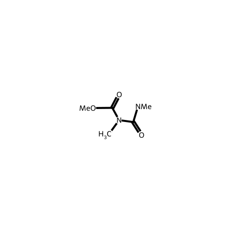 CNC(=O)N(C)C(=O)OC